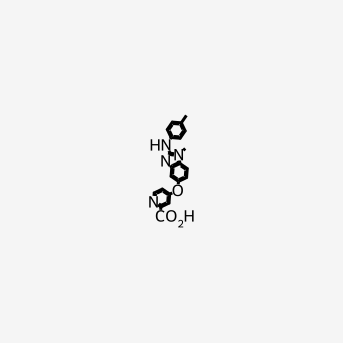 Cc1ccc(Nc2nc3cc(Oc4ccnc(C(=O)O)c4)ccc3n2C)cc1